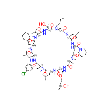 CCCCN1CC(=O)N(C)[C@@H](CC(C)C)C(=O)N[C@H](C(=O)N2CCCCC2)CC(=O)N(C)[C@@H](C)C(=O)N[C@@H](COCC[C@H](C)O)C(=O)N(C)[C@@H](CC(C)C)C(=O)N(C)[C@@H](Cc2cccc(Cl)c2)C(=O)N[C@@H](CC(C)C)C(=O)N(C)[C@@H](C=C2CCCCC2)C(=O)N(C)[C@@H](C(C)C)C(=O)N[C@@H]([C@@H](C)O)C1=O